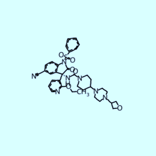 CCOc1ncccc1[C@]1(NC(=O)N2CCC(N3CCN(C4COC4)CC3)CC2)C(=O)N(S(=O)(=O)c2ccccc2)c2ccc(C#N)cc21